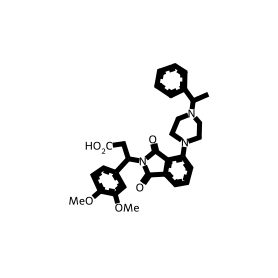 COc1ccc(C(CC(=O)O)N2C(=O)c3cccc(N4CCN(C(C)c5ccccc5)CC4)c3C2=O)cc1OC